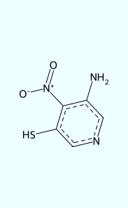 Nc1cncc(S)c1[N+](=O)[O-]